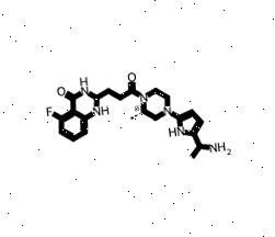 CC(N)c1ccc(N2CCN(C(=O)CCC3NC(=O)c4c(F)cccc4N3)[C@@H](C)C2)[nH]1